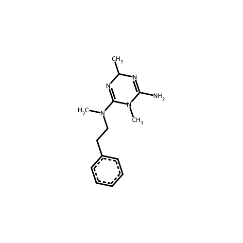 CC1N=C(N)N(C)C(N(C)CCc2ccccc2)=N1